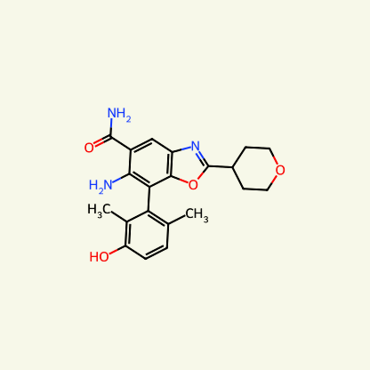 Cc1ccc(O)c(C)c1-c1c(N)c(C(N)=O)cc2nc(C3CCOCC3)oc12